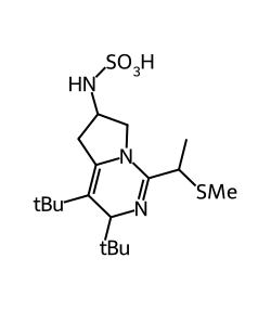 CSC(C)C1=NC(C(C)(C)C)C(C(C)(C)C)=C2CC(NS(=O)(=O)O)CN12